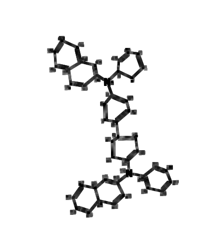 C1=CCC(N(c2ccc(-c3ccc(N(C4=CC5C=CC=CC5C=C4)c4ccccc4)cc3)cc2)c2ccc3ccccc3c2)C=C1